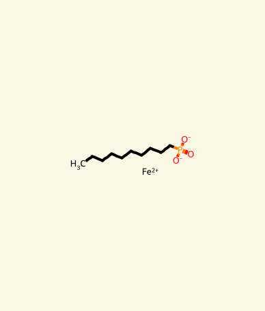 CCCCCCCCCCP(=O)([O-])[O-].[Fe+2]